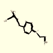 CC(C)CCSc1ccc(CCC(N)=O)cc1